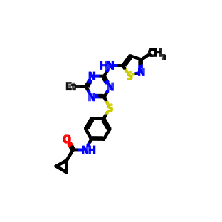 CCc1nc(Nc2cc(C)ns2)nc(Sc2ccc(NC(=O)C3CC3)cc2)n1